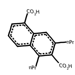 CCCc1cc2c(C(=O)O)cccc2c(CCC)c1C(=O)O